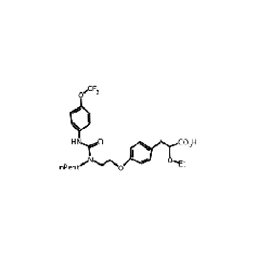 CCCCCN(CCOc1ccc(CC(OCC)C(=O)O)cc1)C(=O)Nc1ccc(OC(F)(F)F)cc1